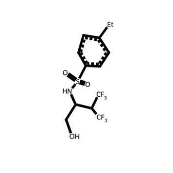 CCc1ccc(S(=O)(=O)NC(CO)C(C(F)(F)F)C(F)(F)F)cc1